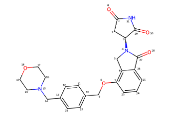 O=C1C[C@H](N2Cc3c(OCc4ccc(CN5CCOCC5)cc4)cccc3C2=O)C(=O)N1